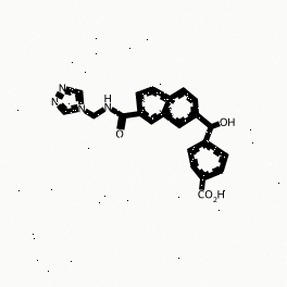 O=C(O)c1ccc(C(O)c2ccc3ccc(C(=O)NCn4cnnc4)cc3c2)cc1